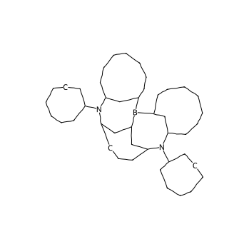 C1CCCC(N2C3CCCCCCCC(C3)B3C4CCCCCCCC(C4)N(C4CCCCCCC4)C4CCCC2CC3C4)CCC1